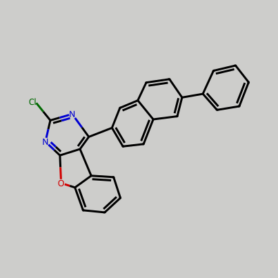 Clc1nc(-c2ccc3cc(-c4ccccc4)ccc3c2)c2c(n1)oc1ccccc12